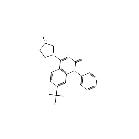 O=c1nc(N2CC[C@@H](O)C2)c2ccc(C(F)(F)F)cc2n1-c1cccnc1